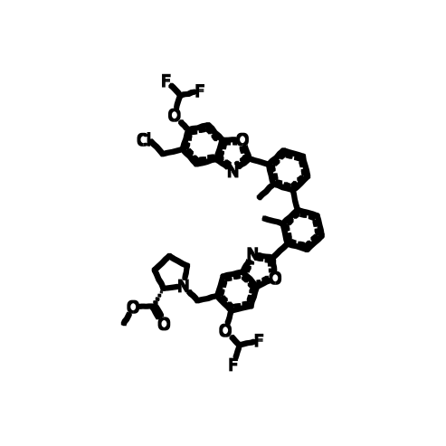 COC(=O)[C@@H]1CCCN1Cc1cc2nc(-c3cccc(-c4cccc(-c5nc6cc(CCl)c(OC(F)F)cc6o5)c4C)c3C)oc2cc1OC(F)F